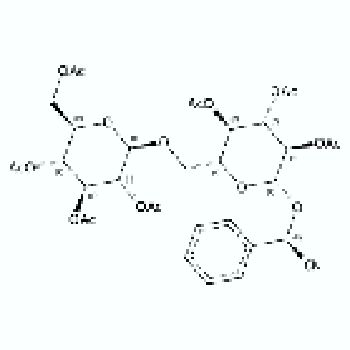 CC(=O)OC[C@H]1O[C@@H](OC[C@H]2O[C@@H](O[C@@H](C#N)c3ccccc3)[C@H](OC(C)=O)[C@@H](OC(C)=O)[C@@H]2OC(C)=O)[C@H](OC(C)=O)[C@@H](OC(C)=O)[C@@H]1OC(C)=O